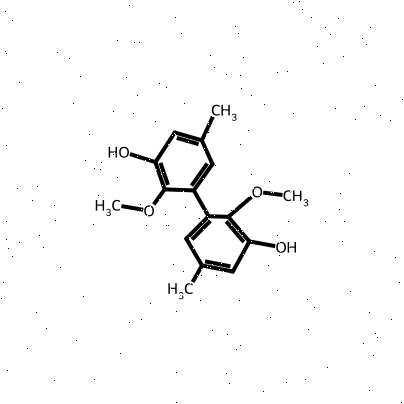 COc1c(O)cc(C)cc1-c1cc(C)cc(O)c1OC